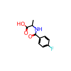 CC(NC(=O)c1ccc(F)cc1)C(=O)O